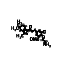 COc1cc(CCC(=O)c2sc(C)c3c2CCC(C)(C)C3)cc(Cl)c1OCCN